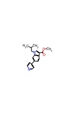 COC(=O)c1cn(CC(C)C)c2cc(-c3ccncc3)ccc12